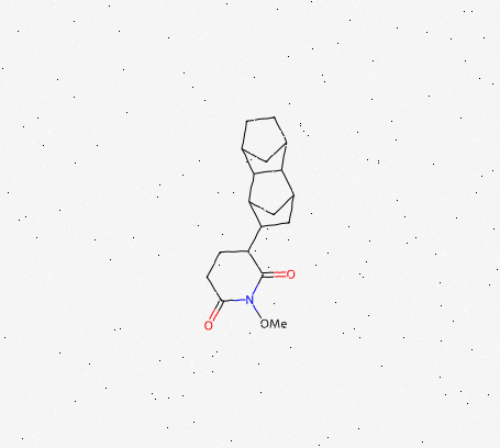 CON1C(=O)CCC(C2CC3CC2C2C4CCC(C4)C32)C1=O